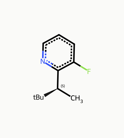 C[C@H](c1ncccc1F)C(C)(C)C